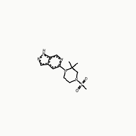 CC1(C)CN(S(C)(=O)=O)CCN1c1cc2cn[nH]c2cn1